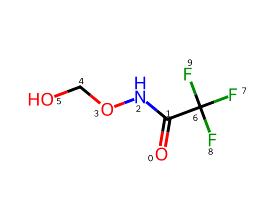 O=C(NOCO)C(F)(F)F